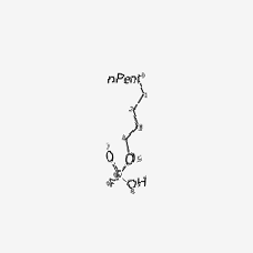 CCCCCCCCCOP(=O)(O)F